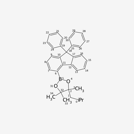 CC(C)CC1(C)OB(c2cccc3c2-c2ccccc2C3(c2ccccc2)c2ccccc2)OC1(C)C